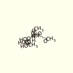 CC(=O)CCCCC(=O)N[C@@H](CC(C)=O)C(=O)NCCO[C@@H]1O[C@@H](C)[C@@H](O)[C@@H](O)[C@@H]1O